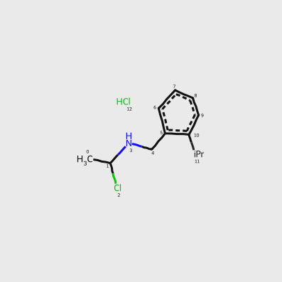 CC(Cl)NCc1ccccc1C(C)C.Cl